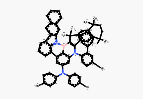 CC(C)(C)c1ccc(N(c2ccc(C(C)(C)C)cc2)c2cc3c4c(c2)N(c2ccc(C(C)(C)C)cc2-c2ccccc2)C2=C(B4n4c5cc6ccccc6cc5c5cccc-3c54)C(C)(C)c3cc4c(cc32)C(C)(C)CCC4(C)C)cc1